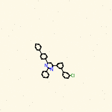 Clc1cccc(-c2cccc(-c3cc(-c4ccc(-c5ccccc5)cc4)nc(-c4ccccc4)n3)c2)c1